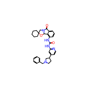 O=C(Nc1cc(C2CCN(Cc3ccccc3)C2)ccn1)Nc1cccc2c1C1OC3(CCCCC3)CN1C2=O